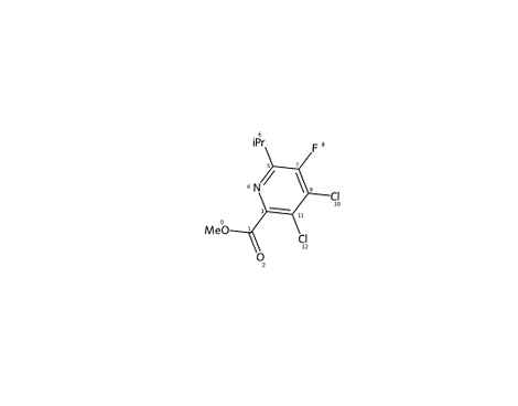 COC(=O)c1nc(C(C)C)c(F)c(Cl)c1Cl